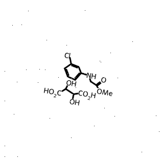 COC(=O)CNc1cccc(Cl)c1.O=C(O)C(O)C(O)C(=O)O